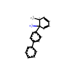 NC1(c2ccc(-c3ccccc3)cc2)C=CC=CC1C(F)(F)F